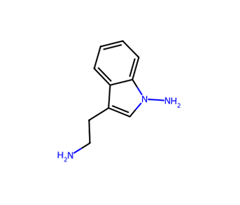 NCCc1cn(N)c2ccccc12